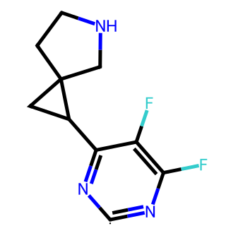 Fc1n[c]nc(C2CC23CCNC3)c1F